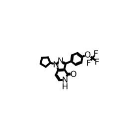 O=c1[nH]ccc2c1c(-c1ccc(OC(F)(F)F)cc1)nn2C1CCCC1